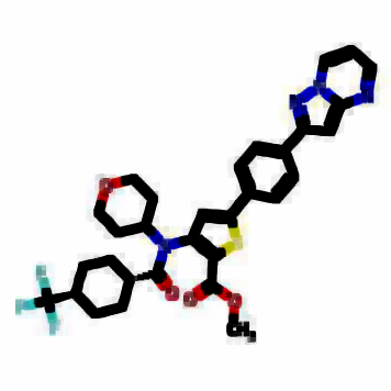 COC(=O)c1sc(-c2ccc(-c3cc4ncccn4n3)cc2)cc1N(C(=O)[C@H]1CC[C@H](C(F)(F)F)CC1)C1CCOCC1